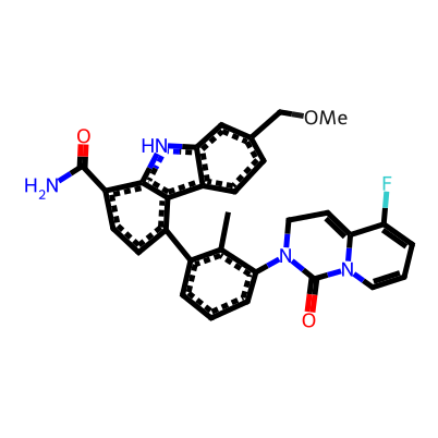 COCc1ccc2c(c1)[nH]c1c(C(N)=O)ccc(-c3cccc(N4CC=C5C(F)=CC=CN5C4=O)c3C)c12